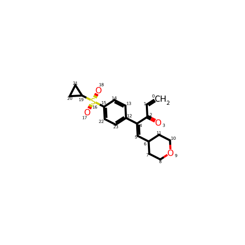 C=CC(=O)C(=CC1CCOCC1)c1ccc(S(=O)(=O)C2CC2)cc1